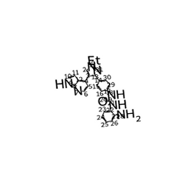 CCn1cc(-c2ccnc3[nH]ccc23)c(-c2ccc(NC(=O)Nc3ccccc3N)cc2)n1